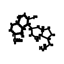 COc1ccc2ncc(F)c([C@H](CO)CN3CC[C@@H](CN)C3)c2n1